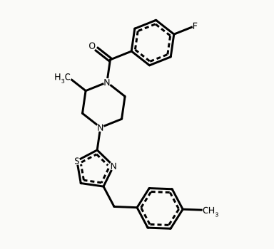 Cc1ccc(Cc2csc(N3CCN(C(=O)c4ccc(F)cc4)C(C)C3)n2)cc1